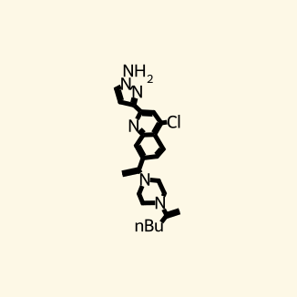 C=C(CCCC)N1CCN(C(=C)c2ccc3c(Cl)cc(-c4ccn(N)n4)nc3c2)CC1